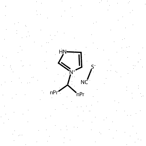 CCCC(CCC)[n+]1cc[nH]c1.N#C[S-]